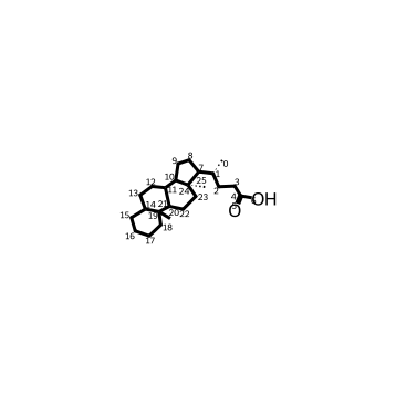 C[C@H](CCC(=O)O)C1CCC2C3CCC4CCCCC4(C)C3CC[C@@]21C